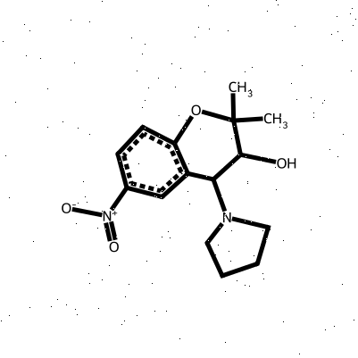 CC1(C)Oc2ccc([N+](=O)[O-])cc2C(N2CCCC2)C1O